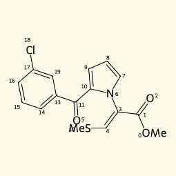 COC(=O)/C(=C/SC)n1cccc1C(=O)c1cccc(Cl)c1